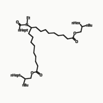 CCCCCCCC(=O)N(CC)C(CCCCCCCCC(=O)OCC(CCCC)CCCCCC)CCCCCCCCC(=O)OCC(CCCC)CCCCCCC